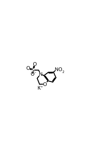 O=[N+]([O-])c1ccc2c(c1)N(CS(=O)(=O)[O-])CCO2.[K+]